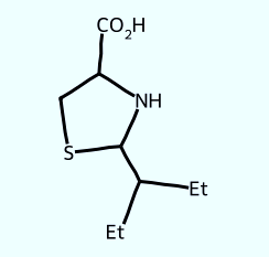 CCC(CC)C1NC(C(=O)O)CS1